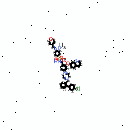 Cc1cc(S(=O)(=O)NC(=O)c2ccc(N3CCN(Cc4ccccc4-c4ccc(Cl)cc4)CC3)cc2Oc2ccc3cccnc3c2)ccc1NCC1=CCOC=C1